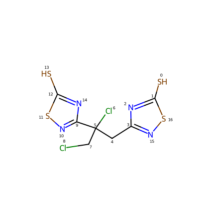 Sc1nc(CC(Cl)(CCl)c2nsc(S)n2)ns1